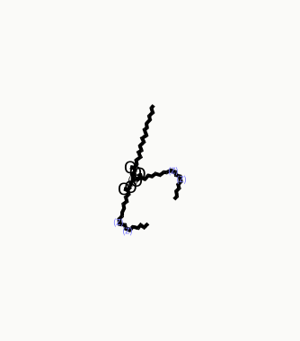 CCCCC/C=C\C/C=C\CCCCCCCC(=O)OC[C@@H](COC(=O)CCCCCCCCCCCCCCCCC)OC(=O)CCCCCCC/C=C\C/C=C\CCCCC